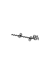 CCCCCCCCOC(=O)CCCCCCCCC(=O)OCC(CO)CO